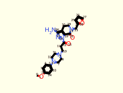 COc1ccc(N2CCN(CCC(=O)n3nc(N)c4c3C(=O)N(Cc3ccco3)CC4)CC2)cc1